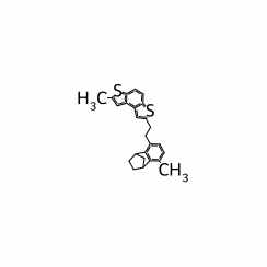 Cc1cc2c(ccc3sc(CCc4ccc(C)c5c4C4CCC5C4)cc32)s1